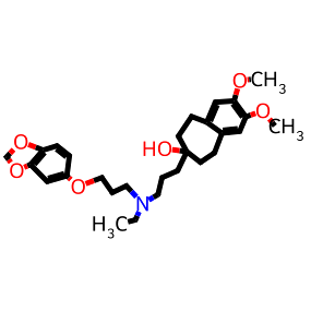 CCN(CCCOc1ccc2c(c1)OCO2)CCCC1(O)CCc2cc(OC)c(OC)cc2CC1